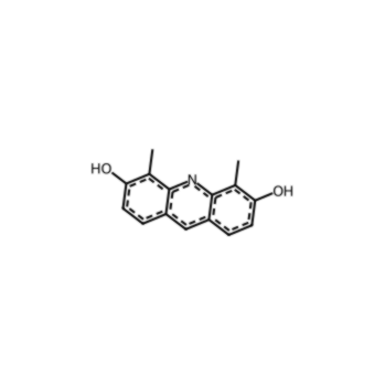 Cc1c(O)ccc2cc3ccc(O)c(C)c3nc12